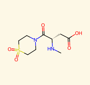 CN[C@@H](CC(=O)O)C(=O)N1CCS(=O)(=O)CC1